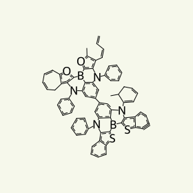 C=C/C=C\c1c(C)oc2c1N(c1ccccc1)c1cc(-c3cc4c5c(c3)N(c3ccccc3)c3c(sc6ccccc36)B5c3sc5c#cccc5c3N4C3=CC=CCC3C)cc3c1B2c1oc2c(c1N3c1ccccc1)CC=CC=C2